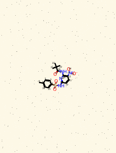 Cc1ccc(S(=O)(=O)Nc2ccc([N+](=O)[O-])c(NC(=O)C(C)(C)C)n2)cc1